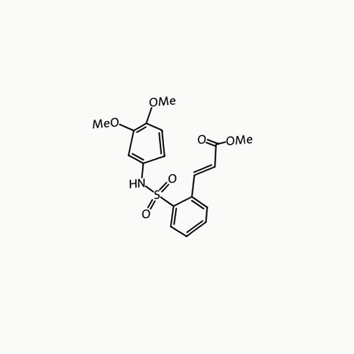 COC(=O)/C=C/c1ccccc1S(=O)(=O)Nc1ccc(OC)c(OC)c1